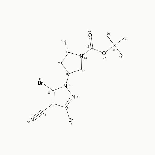 C[C@H]1CC(n2nc(Br)c(C#N)c2Br)CN1C(=O)OC(C)(C)C